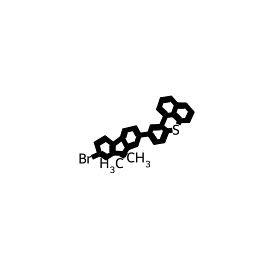 CC1(C)c2cc(Br)ccc2-c2ccc(-c3ccc4c(c3)-c3cccc5cccc(c35)S4)cc21